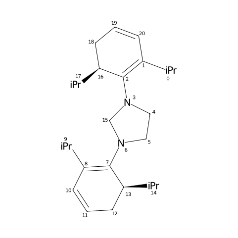 CC(C)C1=C(N2CCN(C3=C(C(C)C)C=CC[C@@H]3C(C)C)C2)[C@@H](C(C)C)CC=C1